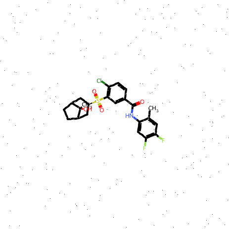 Cc1cc(F)c(F)cc1NC(=O)c1ccc(Cl)c(S(=O)(=O)[C@H]2CC3CCC(C2)[C@@]3(C)O)c1